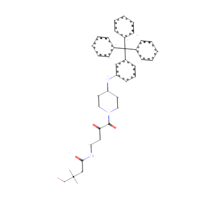 CC(C)(CO)[C@@H](O)C(=O)NCCC(=O)C(=O)N1CCC(Nc2cccc(C(c3ccccc3)(c3ccccc3)c3ccccc3)c2)CC1